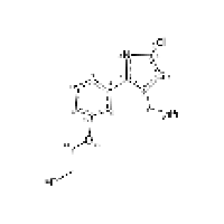 CC(C)Cc1sc(Cl)nc1-c1cccc(OCCF)c1